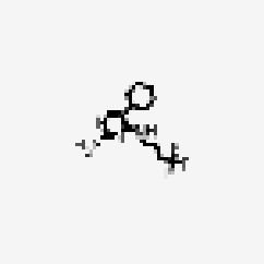 Nc1ncc(C2CCCCC2)c(NCCCC(F)(F)F)n1